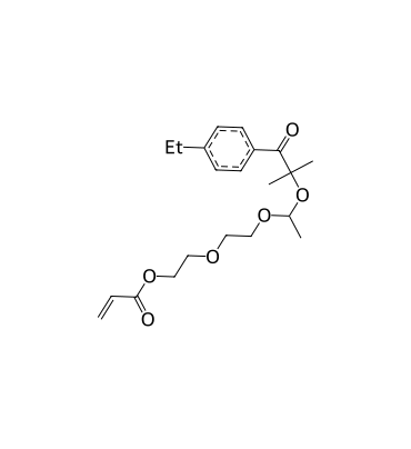 C=CC(=O)OCCOCCOC(C)OC(C)(C)C(=O)c1ccc(CC)cc1